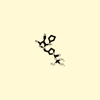 CC(C)(C)OC(=O)N1CCC(/C=[N+]2/N=C(Br)C(C#N)=C2NC2CCCC2)C1